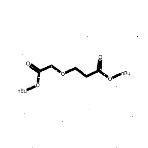 CCCCOC(=O)CCOCC(=O)OCCCC